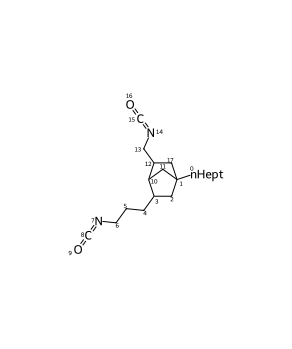 CCCCCCCC12CC(CCCN=C=O)C(C1)C(CN=C=O)C2